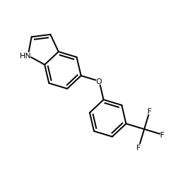 FC(F)(F)c1cccc(Oc2ccc3[nH]ccc3c2)c1